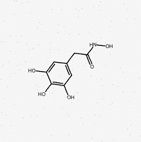 O=C(Cc1cc(O)c(O)c(O)c1)NO